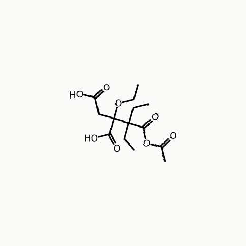 CCOC(CC(=O)O)(C(=O)O)C(CC)(CC)C(=O)OC(C)=O